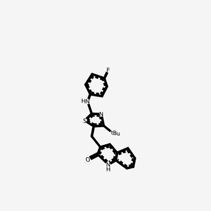 CC(C)(C)c1nc(Nc2ccc(F)cc2)sc1Cc1cc2ccccc2[nH]c1=O